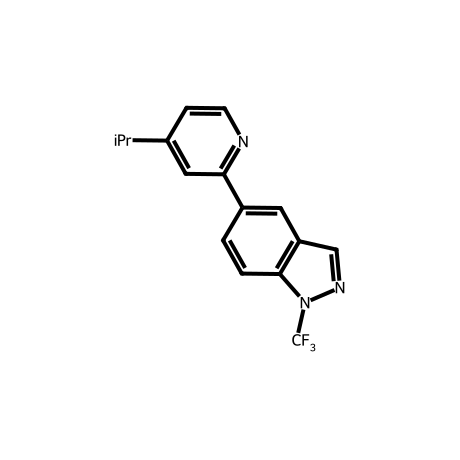 CC(C)c1ccnc(-c2ccc3c(cnn3C(F)(F)F)c2)c1